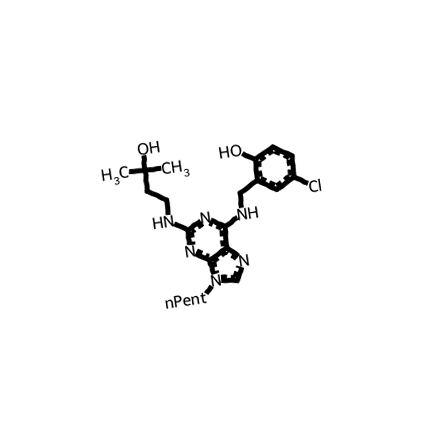 CCCCCn1cnc2c(NCc3cc(Cl)ccc3O)nc(NCCC(C)(C)O)nc21